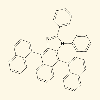 c1ccc(-c2nc3c(-c4cccc5ccccc45)c4ccccc4c(-c4cccc5ccccc45)c3n2-c2ccccc2)cc1